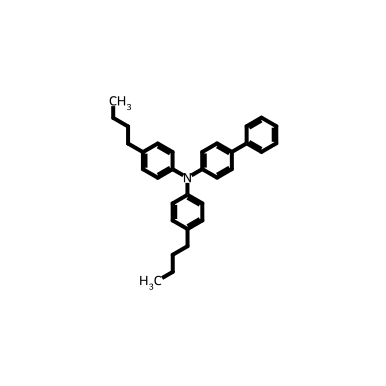 CCCCc1ccc(N(c2ccc(CCCC)cc2)c2ccc(-c3ccccc3)cc2)cc1